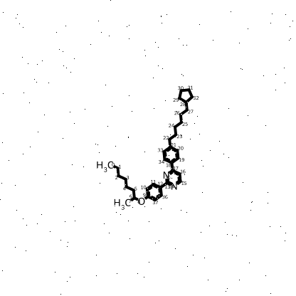 CCCCCCC(C)Oc1ccc(-c2nccc(-c3ccc(CCCCCCC4CCCC4)cc3)n2)cc1